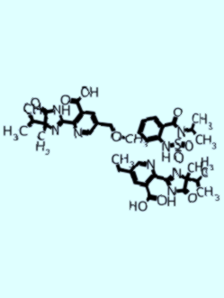 CC(C)N1C(=O)c2ccccc2NS1(=O)=O.CCc1cnc(C2=NC(C)(C(C)C)C(=O)N2)c(C(=O)O)c1.COCc1cnc(C2=NC(C)(C(C)C)C(=O)N2)c(C(=O)O)c1